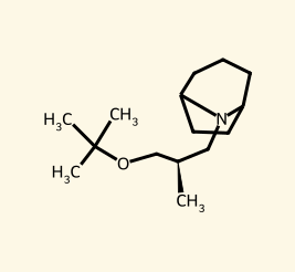 C[C@@H](COC(C)(C)C)CN1C2CCCC1CC2